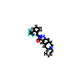 CCN1CCc2ccc(C(=O)NCc3ccccc3C(F)(F)F)cc2CC1